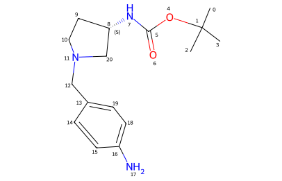 CC(C)(C)OC(=O)N[C@H]1CCN(Cc2ccc(N)cc2)C1